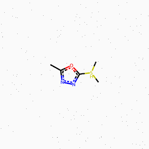 Cc1nnc([SH](C)C)o1